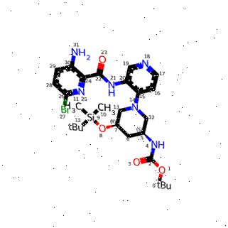 CC(C)(C)OC(=O)N[C@H]1C[C@@H](O[Si](C)(C)C(C)(C)C)CN(c2ccncc2NC(=O)c2nc(Br)ccc2N)C1